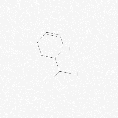 CC(C(=O)O)C1CCC=CO1.Cl